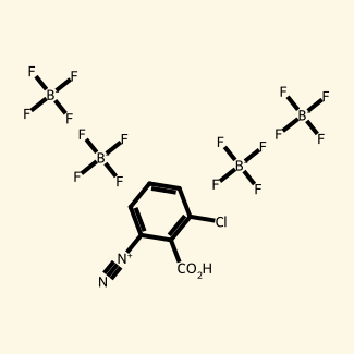 F[B-](F)(F)F.F[B-](F)(F)F.F[B-](F)(F)F.F[B-](F)(F)F.N#[N+]c1cccc(Cl)c1C(=O)O